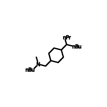 CCCCC(CCC)C1CCC(CN(C)CCCC)CC1